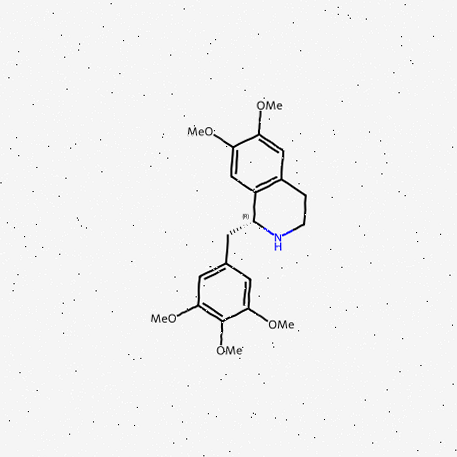 COc1cc2c(cc1OC)[C@@H](Cc1cc(OC)c(OC)c(OC)c1)NCC2